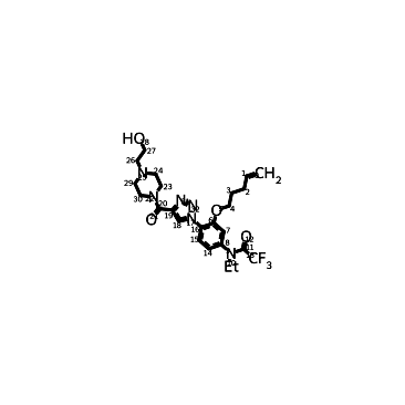 C=CCCCOc1cc(N(CC)C(=O)C(F)(F)F)ccc1-n1cc(C(=O)N2CCN(CCO)CC2)nn1